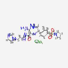 Cl.Nc1ncc(-c2ccc(S(=O)(=O)N3CCCC3)cc2)nc1C(=O)NCCCn1ccnc1